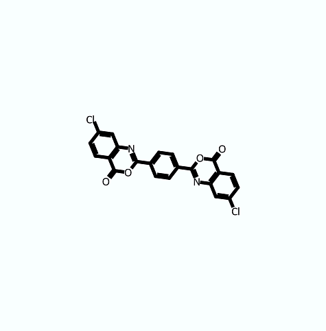 O=c1oc(-c2ccc(-c3nc4cc(Cl)ccc4c(=O)o3)cc2)nc2cc(Cl)ccc12